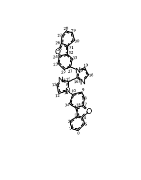 c1ccc2c(c1)oc1ccc(-n3ccnc3-c3nccn3-c3ccc4oc5ccccc5c4c3)cc12